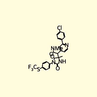 CNC(=O)C(c1ccnc(-c2ccc(Cl)cc2)c1)C1(C)NC(=O)N(c2ccc(SC(F)(F)F)cc2)C1=O